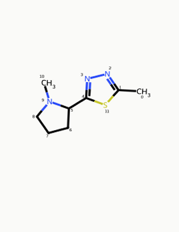 Cc1nnc(C2CCCN2C)s1